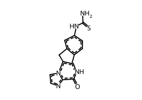 NC(=S)Nc1ccc2c(c1)Cc1c-2[nH]c(=O)c2nccn12